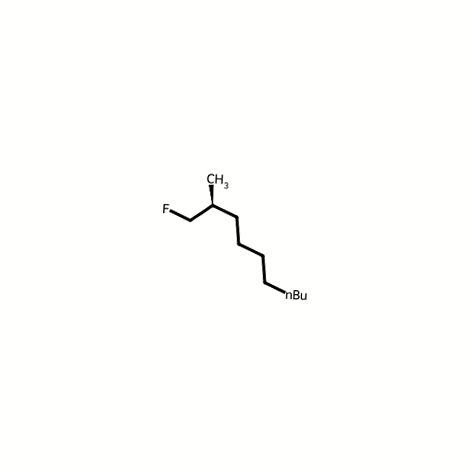 CCCCCCCC[C@H](C)CF